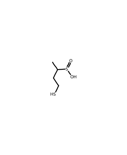 CC(CCS)S(=O)O